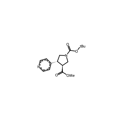 COC(=O)[C@@H]1CN(C(=O)OC(C)(C)C)C[C@H]1c1ccncc1